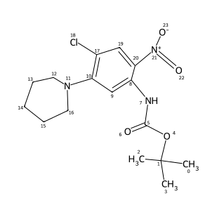 CC(C)(C)OC(=O)Nc1cc(N2CCCCC2)c(Cl)cc1[N+](=O)[O-]